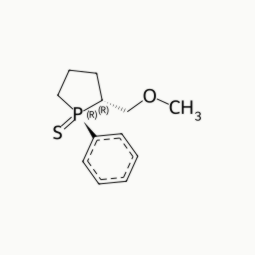 COC[C@H]1CCC[P@]1(=S)c1ccccc1